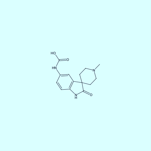 CN1CCC2(CC1)C(=O)Nc1ccc(NC(=O)O)cc12